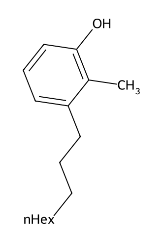 CCCCCCCCCc1cccc(O)c1C